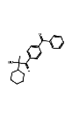 CC(O)(C(=O)c1ccc(C(=O)c2ccccc2)cc1)C1CCCCC1